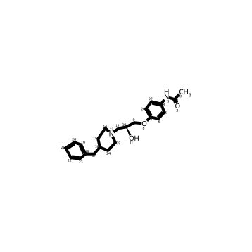 CC(=O)Nc1ccc(OC[C@@H](O)CN2CCC(Cc3ccccc3)CC2)cc1